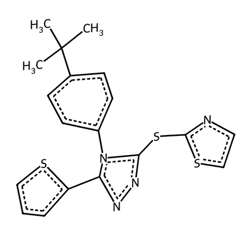 CC(C)(C)c1ccc(-n2c(Sc3nccs3)nnc2-c2cccs2)cc1